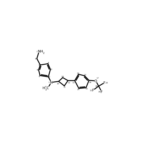 CN(c1ccc(CN)cc1)C1CC(c2ccc(OC(F)(F)F)cc2)C1